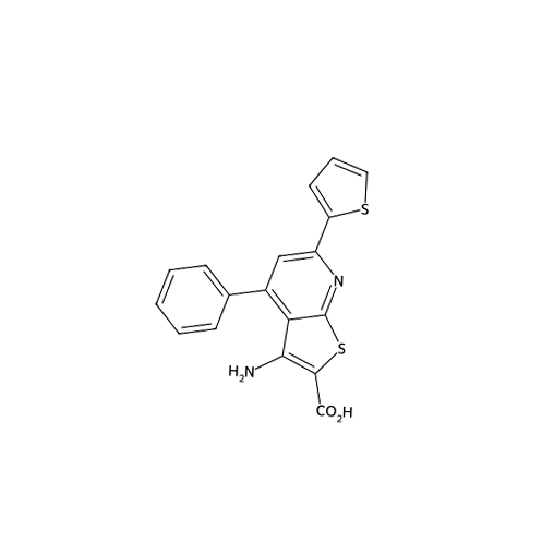 Nc1c(C(=O)O)sc2nc(-c3cccs3)cc(-c3ccccc3)c12